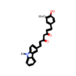 CCn1c2ccccc2c2cc(/C=C/C(=O)CC(=O)/C=C/c3ccc(O)c(OC)c3)ccc21